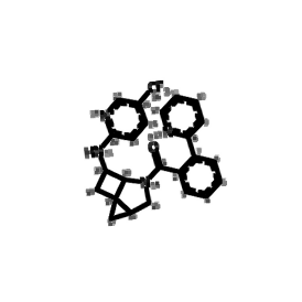 O=C(c1ccccc1-c1ccccn1)N1CC2CC23CC(Nc2ccc(C(F)(F)F)cn2)C13